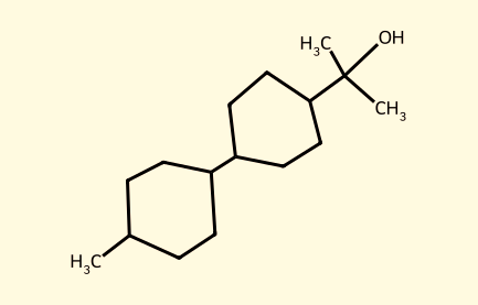 CC1CCC(C2CCC(C(C)(C)O)CC2)CC1